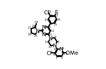 COc1ccc(Cl)c(N2CCN(c3cc(-c4ccc(F)c(Cl)c4)nc(N4CCCC4C)n3)CC2)n1